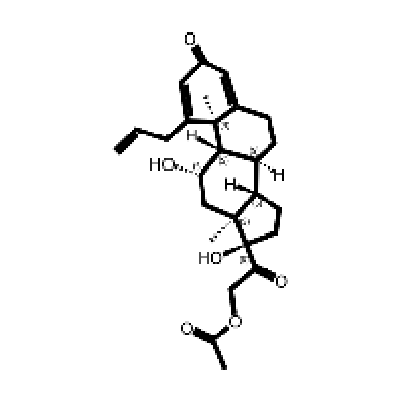 C=CCC1=CC(=O)C=C2CC[C@@H]3[C@H]([C@@H](O)C[C@@]4(C)[C@H]3CC[C@]4(O)C(=O)COC(C)=O)[C@@]12C